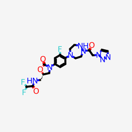 O=C(NC[C@H]1CN(c2ccc(N3CCNN(C(=O)Cn4ccnn4)CC3)c(F)c2)C(=O)O1)C(F)F